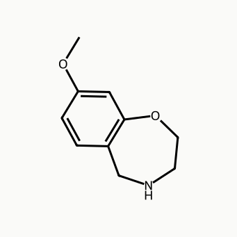 COc1ccc2c(c1)OCCNC2